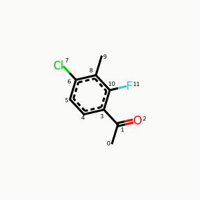 CC(=O)c1ccc(Cl)c(C)c1F